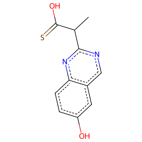 CC(C(O)=S)c1ncc2cc(O)ccc2n1